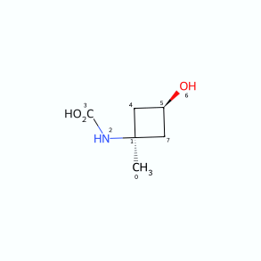 C[C@]1(NC(=O)O)C[C@@H](O)C1